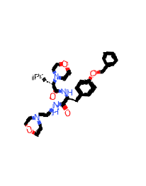 CC(C)C[C@@H](C(=O)N[C@@H](Cc1ccc(OCc2ccccc2)cc1)C(=O)NCCN1CCOCC1)N1CCOCC1